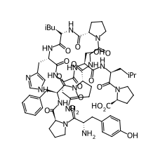 CC[C@H](C)[C@H](NC(=O)[C@@H]1CCCN1C(=O)CNC(=O)[C@@H]1CCCN1C(=O)[C@H](Cc1ccccc1)NC(=O)[C@@H]1CCCN1C(=O)[C@@H](N)Cc1ccc(O)cc1)C(=O)N[C@@H](Cc1c[nH]cn1)C(=O)N[C@@H](CC(N)=O)C(=O)N[C@@H](CO)C(=O)N[C@@H](CC(C)C)C(=O)N1CCC[C@H]1C(=O)O